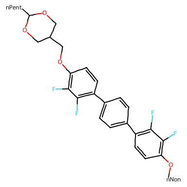 CCCCCCCCCOc1ccc(-c2ccc(-c3ccc(OCC4COC(CCCCC)OC4)c(F)c3F)cc2)c(F)c1F